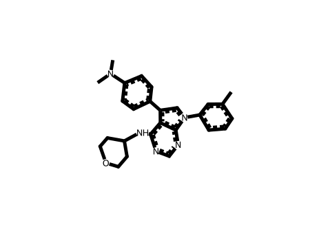 Cc1cccc(-n2cc(-c3ccc(N(C)C)cc3)c3c(NC4CCOCC4)ncnc32)c1